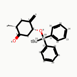 C=C1C[C@@H](C)C(=O)C[C@H]1O[Si](c1ccccc1)(c1ccccc1)C(C)(C)C